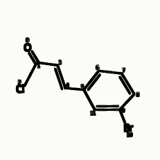 O=C(Cl)/C=C/c1cccc(Br)c1